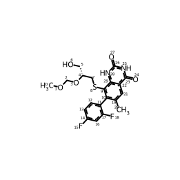 COCO[C@H](CO)CSc1c(-c2ccc(F)cc2F)c(C)cc2c(=O)[nH]c(=O)[nH]c12